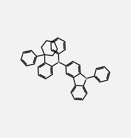 c1ccc(N(c2ccc3c(c2)c2ccccc2n3-c2ccccc2)c2ccccc2C2(c3ccccc3)CCCCC2)cc1